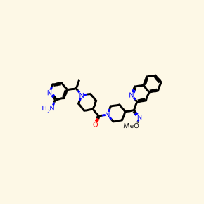 CON=C(c1cc2ccccc2cn1)C1CCN(C(=O)C2CCN(C(C)c3ccnc(N)c3)CC2)CC1